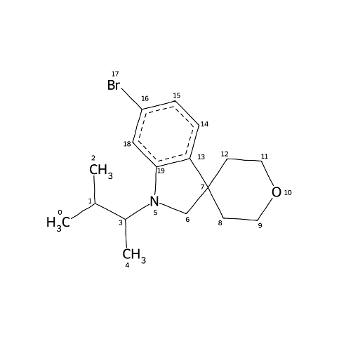 CC(C)C(C)N1CC2(CCOCC2)c2ccc(Br)cc21